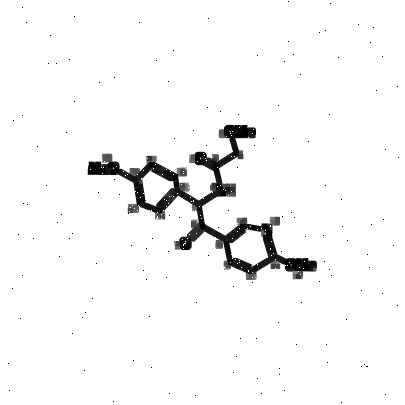 COCC(=O)NC(C(=O)c1ccc(OC)nc1)c1ccc(OC)cc1